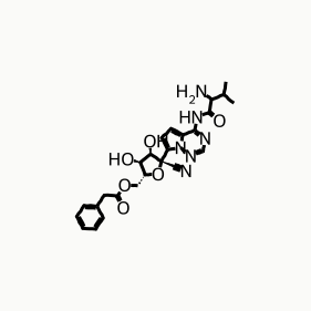 CC(C)C(N)C(=O)Nc1ncnn2c([C@]3(C#N)O[C@H](COC(=O)Cc4ccccc4)[C@@H](O)[C@H]3O)ccc12